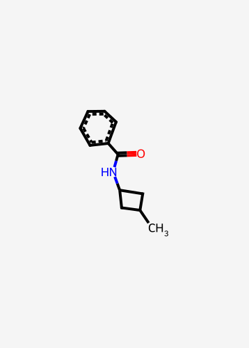 CC1CC(NC(=O)c2ccccc2)C1